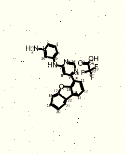 Nc1cccc(Nc2cc(-c3cccc4c3oc3ccccc34)ncn2)c1.O=C(O)C(F)(F)F